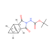 CC(C)(C)OC(=O)NN1C(=O)[C@@H]2C3C=CC([C@H]4C[C@@H]34)[C@@H]2C1=O